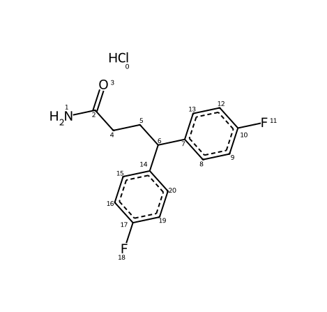 Cl.NC(=O)CCC(c1ccc(F)cc1)c1ccc(F)cc1